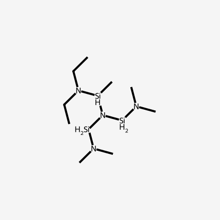 CCN(CC)[SiH](C)N([SiH2]N(C)C)[SiH2]N(C)C